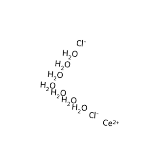 O.O.O.O.O.O.O.[Ce+2].[Cl-].[Cl-]